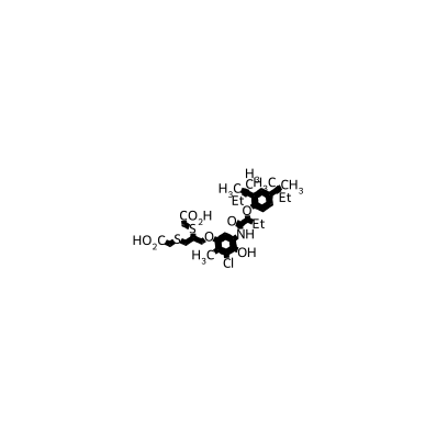 CCC(Oc1ccc(C(C)(C)CC)cc1C(C)(C)CC)C(=O)Nc1cc(OCC(CSCC(=O)O)SCC(=O)O)c(C)c(Cl)c1O